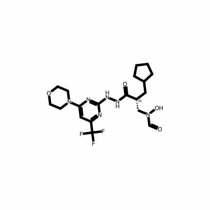 O=CN(O)C[C@@H](CC1CCCC1)C(=O)NNc1nc(N2CCOCC2)cc(C(F)(F)F)n1